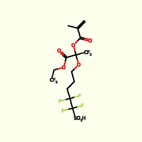 C=C(C)C(=O)OC(OCCCC(F)(F)C(F)(F)S(=O)(=O)O)(C(=O)OCC(F)(F)F)C(F)(F)F